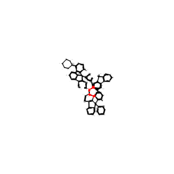 CC1(C)c2ccccc2-c2ccc(N(c3ccc4c(c3)C3(c5cc(C6CCCCC6)ccc5Oc5ccc(C6CCCCC6)cc53)c3ccccc3-4)C3C=CC4=C(C3)C3(c5ccccc5Sc5ccccc53)c3ccccc34)cc21